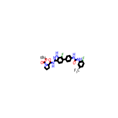 CC(C)(C)OC(=O)N1CCCC1C(=O)Nc1n[nH]c2c(F)c(-c3ccc(NC(=O)Nc4cc(C(F)(F)F)ccc4F)cc3)ccc12